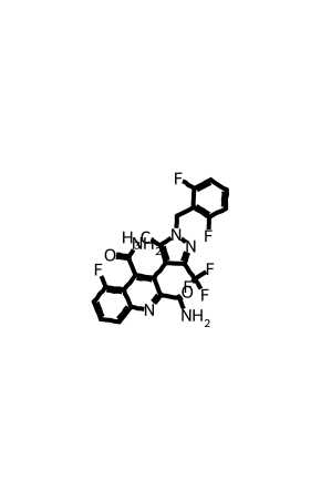 Cc1c(-c2c(C(N)=O)nc3cccc(F)c3c2C(N)=O)c(C(F)(F)F)nn1Cc1c(F)cccc1F